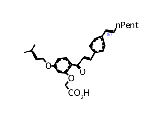 CCCCC/C=C/c1ccc(C=CC(=O)c2ccc(OCC=C(C)C)cc2OCC(=O)O)cc1